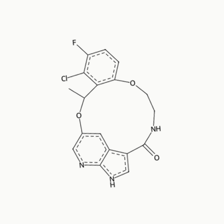 CC1Oc2cnc3[nH]cc(c3c2)C(=O)NCCOc2ccc(F)c(Cl)c21